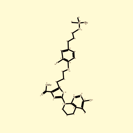 COC(=O)c1nc(N2CCCc3c2nnc(Cl)c3C)sc1CCCOc1ccc(CCCO[Si](C)(C)C(C)(C)C)cc1F